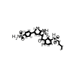 CCCCS(=O)(=O)Nc1ccc(F)c(C(=O)c2n[nH]c3ncc(-c4ccc(S(N)(=O)=O)cc4)cc23)c1F